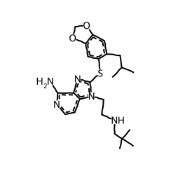 CC(C)Cc1cc2c(cc1Sc1nc3c(N)nccc3n1CCNCC(C)(C)C)OCO2